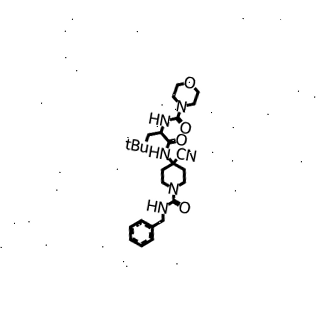 CC(C)(C)CC(NC(=O)N1CCOCC1)C(=O)NC1(C#N)CCN(C(=O)NCc2ccccc2)CC1